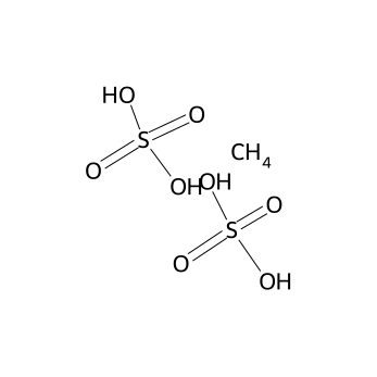 C.O=S(=O)(O)O.O=S(=O)(O)O